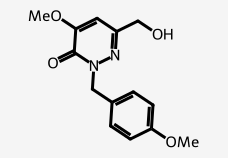 COc1ccc(Cn2nc(CO)cc(OC)c2=O)cc1